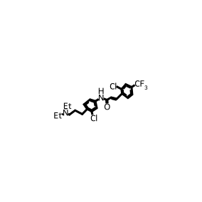 CCN(CC)CCCc1ccc(NC(=O)C=Cc2ccc(C(F)(F)F)cc2Cl)cc1Cl